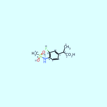 CC(C(=O)O)c1ccc(NS(C)(=O)=O)c(F)c1